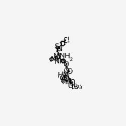 CC(C)(C)OC(=O)NCCC[C@H](NC(=O)OC(C)(C)C)C(=O)OCCOc1ccc(-c2c(N)c(SCc3csc(-c4ccc(Cl)cc4)n3)nc(N3CCCC3)c2N)cc1